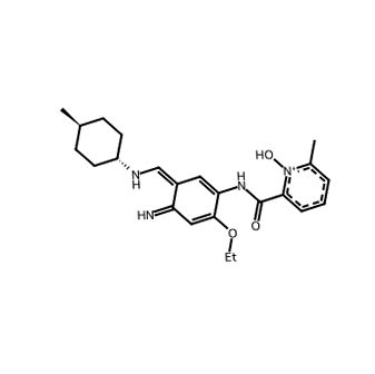 CCOC1=CC(=N)/C(=C\N[C@H]2CC[C@H](C)CC2)C=C1NC(=O)c1cccc(C)[n+]1O